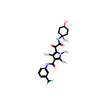 Cc1c(C(=O)Nc2cccc(C(F)F)c2)c(C)n(C)c1C(=O)C(=O)N[C@]1(C)CC[C@@H](O)CC1